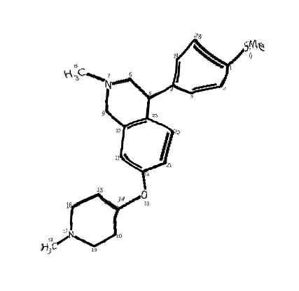 CSc1ccc(C2CN(C)Cc3cc(OC4CCN(C)CC4)ccc32)cc1